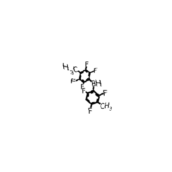 Cc1c(F)c(F)c(Bc2c(F)cc(F)c(C)c2F)c(F)c1F